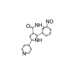 NC(=O)c1cc(-c2ccncc2)[nH]c1-c1cccc(N=O)c1